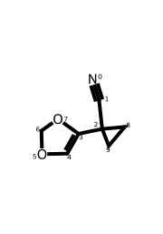 N#CC1(C2=COCO2)CC1